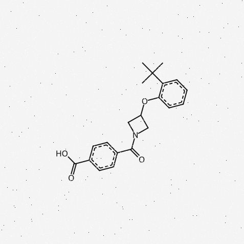 CC(C)(C)c1ccccc1OC1CN(C(=O)c2ccc(C(=O)O)cc2)C1